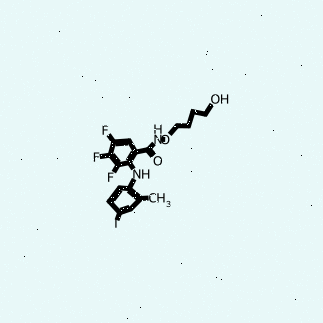 Cc1cc(I)ccc1Nc1c(C(=O)NOCCCCO)cc(F)c(F)c1F